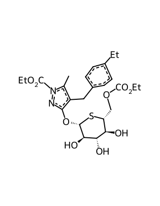 CCOC(=O)OC[C@H]1S[C@@H](Oc2nn(C(=O)OCC)c(C)c2Cc2ccc(CC)cc2)[C@H](O)[C@@H](O)[C@@H]1O